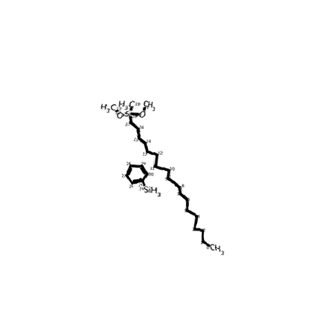 CCCCCCCCCCCCCCCCCC[Si](C)(OC)OC.[SiH3]c1ccccc1